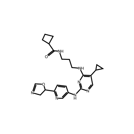 O=C(NCCCNc1nc(Nc2ccc(C3CN=CO3)nc2)ncc1C1CC1)C1CCC1